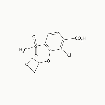 CS(=O)(=O)c1ccc(C(=O)O)c(Cl)c1OC1COC1